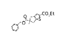 CCOC(=O)c1cc2c(s1)CC(C)(C(=O)OCc1ccccc1)C2